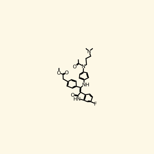 COC(=O)Cc1ccc(C(Nc2ccc(N(CCCN(C)C)C(C)=O)cc2)=C2C(=O)Nc3cc(F)ccc32)cc1